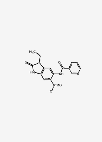 CCC1C(=S)Nc2cc([N+](=O)[O-])c(NC(=O)c3cccnc3)cc21